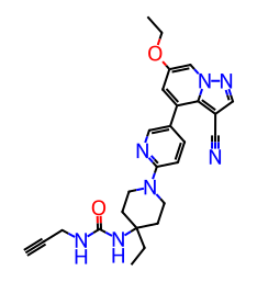 C#CCNC(=O)NC1(CC)CCN(c2ccc(-c3cc(OCC)cn4ncc(C#N)c34)cn2)CC1